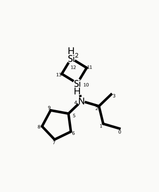 CCC(C)N(C1CCCC1)[SiH]1C[SiH2]C1